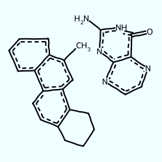 Cc1cc2c3c(ccc2c2ccccc12)CCCC3.Nc1nc2nccnc2c(=O)[nH]1